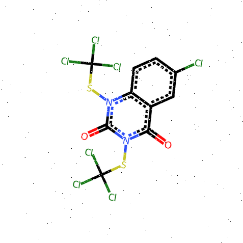 O=c1c2cc(Cl)ccc2n(SC(Cl)(Cl)Cl)c(=O)n1SC(Cl)(Cl)Cl